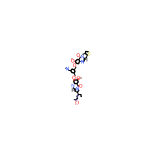 C=C/C(=C\C=C(/C)OC)C1=CN2C(=O)c3cc(OC)c(OCc4cc(COc5cc6c(cc5OC)C(=O)N5Cc7ccsc7C[C@H]5C=N6)cc(CN(C)C)c4)cc3N=C[C@@H]2C1